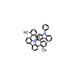 N#Cc1cccc(C#N)c1-c1cccc2c3cccc(-c4c(C#N)cccc4C#N)c3n(-c3ccc4c(c3)c3ccccc3n4-c3ccccc3)c12